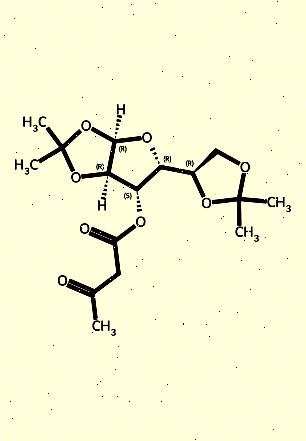 CC(=O)CC(=O)O[C@@H]1[C@H]2OC(C)(C)O[C@H]2O[C@@H]1[C@H]1COC(C)(C)O1